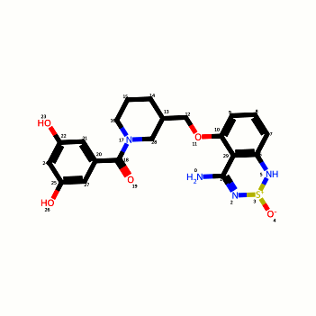 NC1=N[S+]([O-])Nc2cccc(OCC3CCCN(C(=O)c4cc(O)cc(O)c4)C3)c21